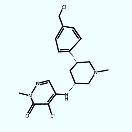 CN1C[C@H](Nc2cnn(C)c(=O)c2Cl)C[C@H](c2ccc(CCl)cc2)C1